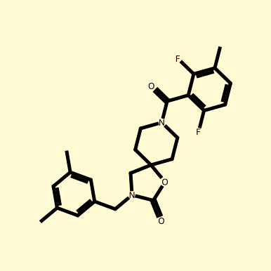 Cc1cc(C)cc(CN2CC3(CCN(C(=O)c4c(F)ccc(C)c4F)CC3)OC2=O)c1